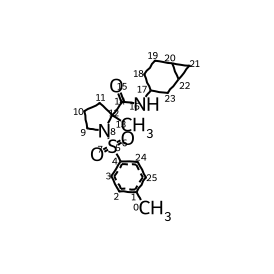 Cc1ccc(S(=O)(=O)N2CCCC2(C)C(=O)NC2CCC3CC3C2)cc1